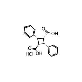 Cl.O=C(O)[C@H]1[C@H](c2ccccc2)[C@H](C(=O)O)[C@@H]1c1ccccc1